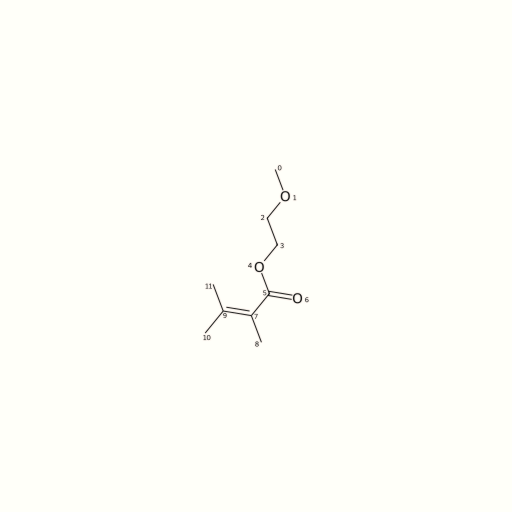 COCCOC(=O)C(C)=C(C)C